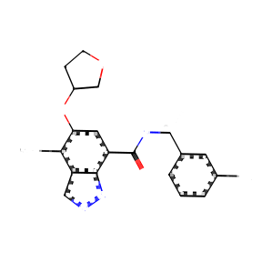 COc1c(OC2CCOC2)cc(C(=O)N[C@H](C)c2cccc(C(F)(F)F)c2)c2n[nH]cc12